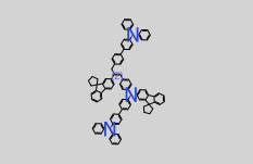 C(=C(\Cc1ccc(-c2ccc(N(c3ccccc3)c3ccccc3)cc2)cc1)c1ccc2c(c1)C1(CCCC1)c1ccccc1-2)/c1ccc(N(c2ccc(-c3ccc(N(c4ccccc4)c4ccccc4)cc3)cc2)c2ccc3c(c2)C2(CCCC2)c2ccccc2-3)cc1